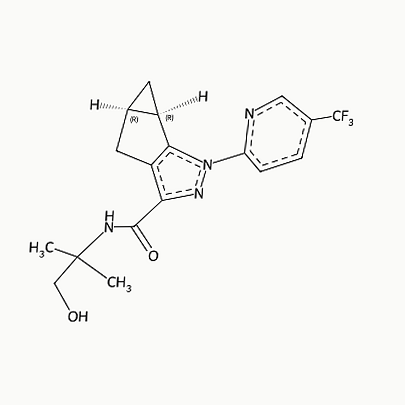 CC(C)(CO)NC(=O)c1nn(-c2ccc(C(F)(F)F)cn2)c2c1C[C@H]1C[C@@H]21